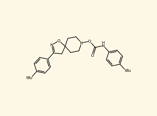 CC(C)(C)c1ccc(NC(=O)ON2CCC3(CC2)CC(c2ccc(C(C)(C)C)cc2)=NO3)cc1